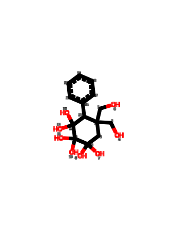 OCC1(CO)CC(O)(O)C(O)(O)C(O)(O)C1c1ccccc1